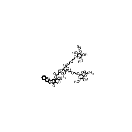 CC[C@@]1(OC(=O)CCC(=O)NC(CC(=O)NCCOCCO[C@H]2O[C@@H](CO)[C@@H](O)[C@H](OCN=O)[C@@H]2O)C(=O)NCCOCCO[C@H]2O[C@@H](CO)[C@@H](O)[C@H](OC(N)=O)[C@@H]2O)C(=O)OCc2c1cc1n(c2=O)Cc2cc3ccccc3nc2-1